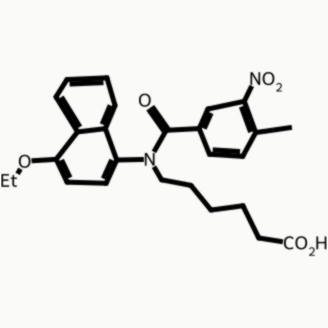 CCOc1ccc(N(CCCCCC(=O)O)C(=O)c2ccc(C)c([N+](=O)[O-])c2)c2ccccc12